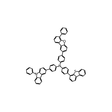 c1ccc(-c2cccc3c2oc2ccc(-c4ccc(N(c5ccc(-c6ccc7c(c6)c6ccccc6n7-c6ccccc6)cc5)c5ccc(-c6cccc7c6sc6ccccc67)cc5)cc4)cc23)cc1